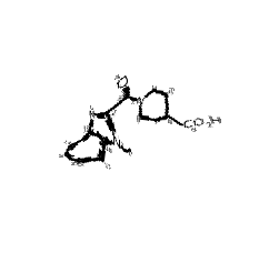 Cn1c(C(=O)N2CCC(C(=O)O)CC2)nc2ccccc21